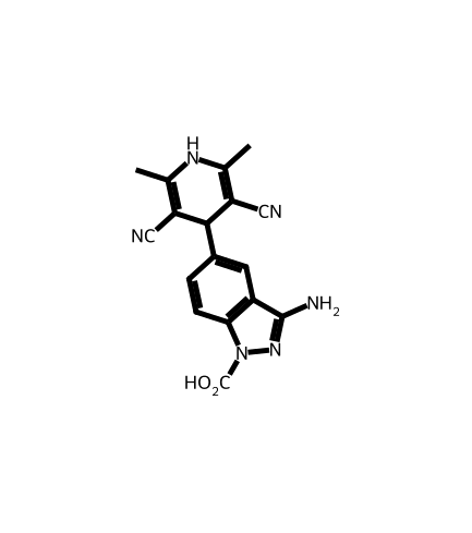 CC1=C(C#N)C(c2ccc3c(c2)c(N)nn3C(=O)O)C(C#N)=C(C)N1